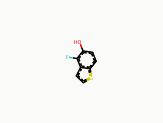 Oc1ccc2sccc2c1F